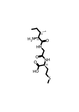 CC[C@H](C)[C@H](N)C(=O)NCC(=O)N[C@@H](CCSC)C(=O)O